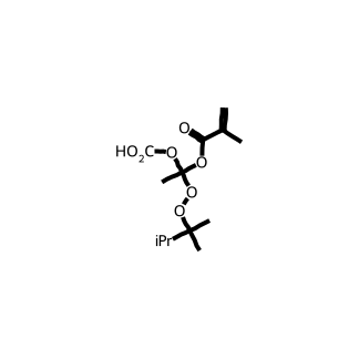 C=C(C)C(=O)OC(C)(OOC(C)(C)C(C)C)OC(=O)O